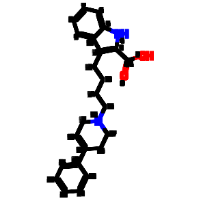 O=C(O)c1[nH]c2ccccc2c1CCCCN1CC=C(c2ccccc2)CC1